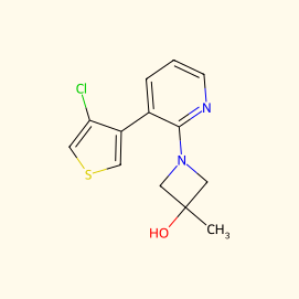 CC1(O)CN(c2ncccc2-c2cscc2Cl)C1